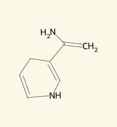 C=C(N)C1=CNC=CC1